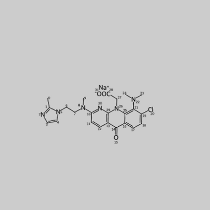 Cc1nccn1CCN(C)c1ccc2c(=O)c3ccc(Cl)c(N(C)C)c3n(CC(=O)[O-])c2n1.[Na+]